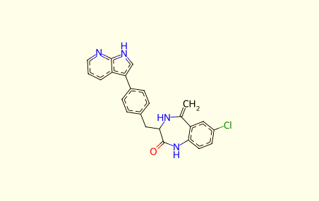 C=C1NC(Cc2ccc(-c3c[nH]c4ncccc34)cc2)C(=O)Nc2ccc(Cl)cc21